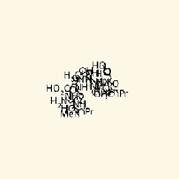 CNC(CC(C)C)C(O)NC(CC(N)N)CC1CCC=C1C(=O)NC(CCC(=O)O)C(=O)NC(C(C)O)C(N)NCC(N)NC(CCC(=O)O)C(=O)NC(Cc1ccc(O)cc1)C(=O)CC(C=O)CC(C)C